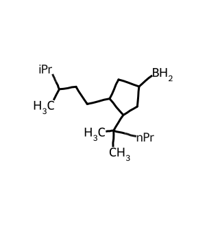 BC1CC(CCC(C)C(C)C)C(C(C)(C)CCC)C1